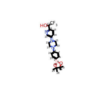 CC1(C)OB(c2ccc(N3CCN(c4ccc(C(O)C(F)(F)F)nc4)CC3)cc2)OC1(C)C